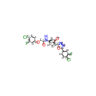 O=C(COc1ccc(Cl)c(F)c1)NC12CCC(c3nnc(-c4ccc(Cl)c(F)c4)o3)(CC1)C(=O)C2